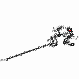 COCCOCCOCCOCCOCCOCCOCCOCCOCCOCCOCCOCCn1cc([C@H](CC(=O)N[C@H](C(=O)N[C@@H](C)C(=O)Nc2ccc(COC(=O)N(CCOC34CC5(C)CC(C)(CC(Cn6ncc(-c7ccc(N8CCc9cccc(C(=O)Nc%10nc%11ccccc%11s%10)c9C8)nc7C(=O)O)c6C)(C5)C3)C4)CCS(=O)(=O)O)c(CC[C@@H]3O[C@H](C(=O)O)[C@@H](O)[C@H](O)[C@H]3O)c2)C(C)C)N2C(=O)C=CC2=O)nn1